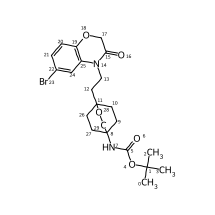 CC(C)(C)OC(=O)NC12CCC(CCN3C(=O)COc4ccc(Br)cc43)(CC1)OC2